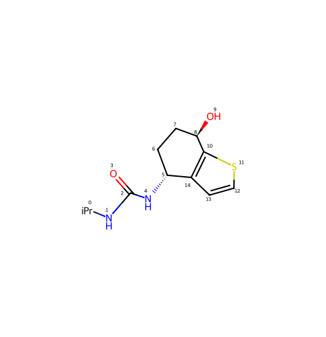 CC(C)NC(=O)N[C@@H]1CC[C@@H](O)c2sccc21